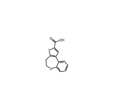 O=C(O)c1cc2c(s1)CCOc1ccccc1-2